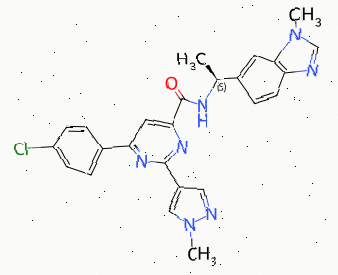 C[C@H](NC(=O)c1cc(-c2ccc(Cl)cc2)nc(-c2cnn(C)c2)n1)c1ccc2ncn(C)c2c1